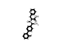 CC(c1ccc(-c2ccccc2F)cc1)[S+]([O-])C(Cc1ccccn1)C(=O)O